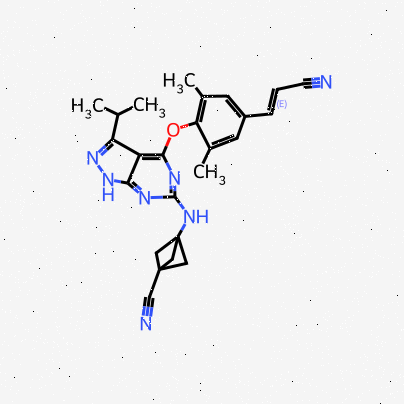 Cc1cc(/C=C/C#N)cc(C)c1Oc1nc(NC23CC(C#N)(C2)C3)nc2[nH]nc(C(C)C)c12